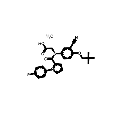 CC(C)(C)COc1ccc(N(CC(=O)O)C(=O)c2cccn2-c2ccc(F)cc2)cc1C#N.O